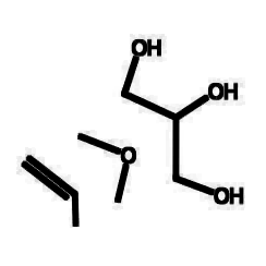 C=CC.COC.OCC(O)CO